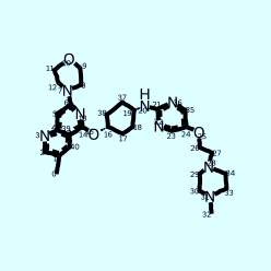 Cc1cnc2cc(N3CCOCC3)nc(O[C@H]3CC[C@@H](Nc4ncc(OCCN5CCN(C)CC5)cn4)CC3)c2c1